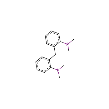 CP(C)c1ccccc1Cc1ccccc1P(C)C